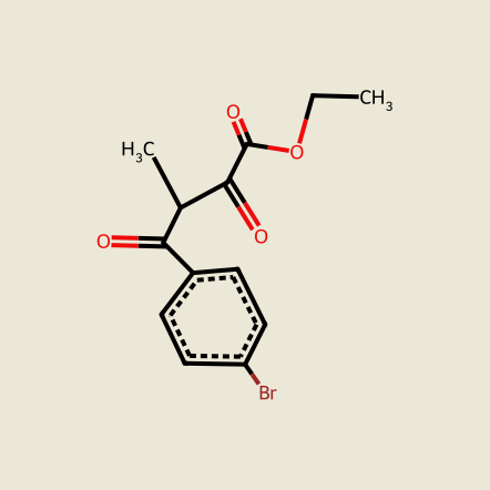 CCOC(=O)C(=O)C(C)C(=O)c1ccc(Br)cc1